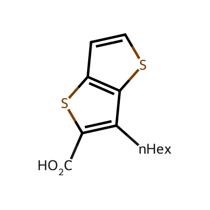 CCCCCCc1c(C(=O)O)sc2ccsc12